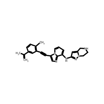 C=C(C)c1ccc(C)c(C#Cc2cnc3c(Nc4cc5n(n4)CCNC5)cccn23)c1